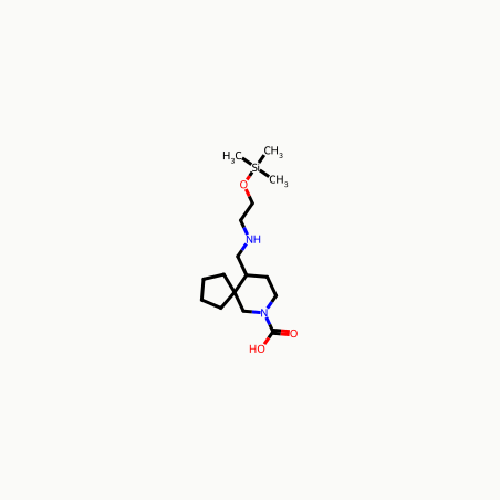 C[Si](C)(C)OCCNCC1CCN(C(=O)O)CC12CCCC2